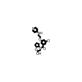 O=C(O)CN(C(=O)c1cc(Cl)cc(OCCNc2ccncc2)c1)C1CCCC1